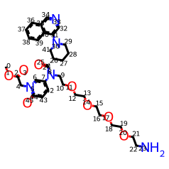 COC(=O)Cn1cc(N(CCOCCOCCOCCOCCN)C(=O)[C@H]2CCCN(c3cncc4ccccc34)C2)ccc1=O